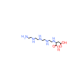 NCCNCCNCCNCCNC(CC(=O)O)C(=O)O